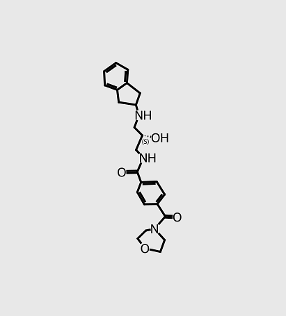 O=C(NC[C@@H](O)CNC1Cc2ccccc2C1)c1ccc(C(=O)N2CCOCC2)cc1